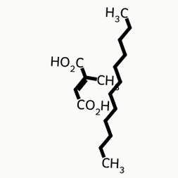 CC(=CC(=O)O)C(=O)O.CCCCCCCCCCCC